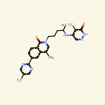 Cc1cn(CCCC(C)Nc2cn[nH]c(=O)c2C(F)(F)F)c(=O)c2ccc(-c3ncc(C(F)(F)F)cn3)cc12